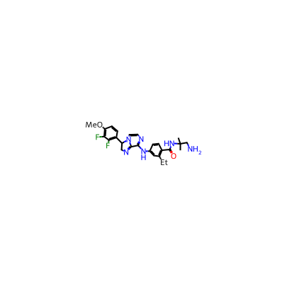 CCc1cc(NC2=NC=CN3C2=NCC3c2ccc(OC)c(F)c2F)ccc1C(=O)NC(C)(C)CN